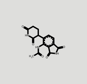 CC(=O)Nc1c(C2CCC(=O)NC2=O)ccc2c1C(=O)NC2=O